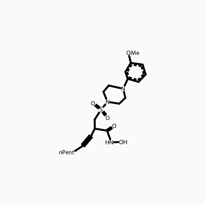 CCCCCC#CC(CS(=O)(=O)N1CCN(c2cccc(OC)c2)CC1)C(=O)NO